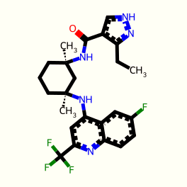 CCc1n[nH]cc1C(=O)N[C@]1(C)CCC[C@](C)(Nc2cc(C(F)(F)F)nc3ccc(F)cc23)C1